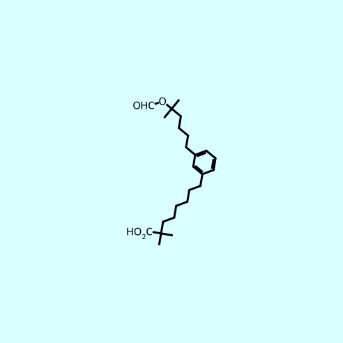 CC(C)(CCCCc1cccc(CCCCCCC(C)(C)C(=O)O)c1)OC=O